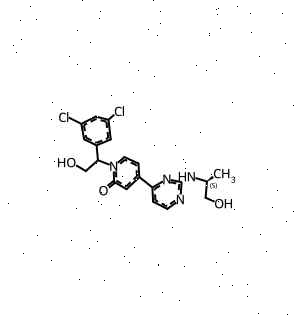 C[C@@H](CO)Nc1nccc(-c2ccn(C(CO)c3cc(Cl)cc(Cl)c3)c(=O)c2)n1